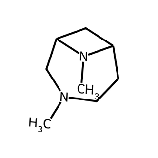 CN1CCC2CC(C1)N2C